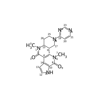 CN(C(=O)c1cn(C)c(=O)c2[nH]ccc12)C1CCN(c2ccncn2)CC1